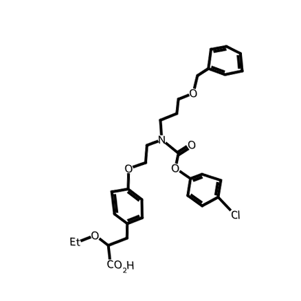 CCOC(Cc1ccc(OCCN(CCCOCc2ccccc2)C(=O)Oc2ccc(Cl)cc2)cc1)C(=O)O